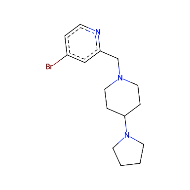 Brc1ccnc(CN2CCC(N3CCCC3)CC2)c1